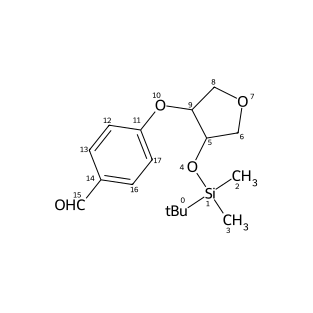 CC(C)(C)[Si](C)(C)OC1COCC1Oc1ccc(C=O)cc1